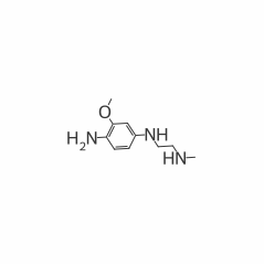 CNCCNc1ccc(N)c(OC)c1